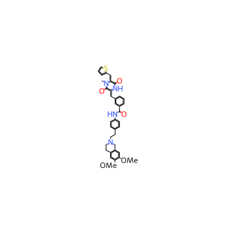 COc1cc2c(cc1OC)CN(CCc1ccc(NC(=O)c3cccc(C=c4[nH]c(=O)c(=Cc5cccs5)n(C)c4=O)c3)cc1)CC2